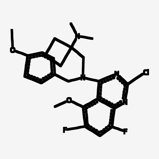 COc1ccc(CN(CC2(N(C)C)CCC2)c2nc(Cl)nc3c(F)cc(F)c(OC)c23)cc1